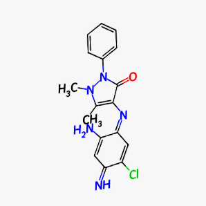 Cc1c(/N=C2/C=C(Cl)C(=N)C=C2N)c(=O)n(-c2ccccc2)n1C